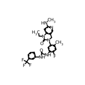 CCN1C(=O)N(c2cc(NC(=O)Nc3cccc(C(F)(F)F)c3)c(F)cc2C)Cc2cnc(NC)cc21